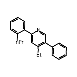 CCCc1ccccc1-c1cc(CC)c(-c2ccccc2)cn1